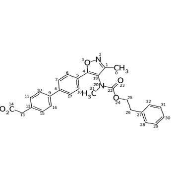 Cc1noc(-c2ccc(-c3ccc(CC(=O)O)cc3)cc2)c1N(C)C(=O)OCCc1ccccc1